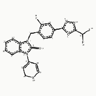 O=c1n(Cc2ccc(-c3nnc(C(F)F)o3)cc2F)c2ccccc2n1C1=CCSC=C1